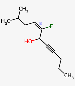 CCCC#CC(O)/C(F)=C\CC(C)C